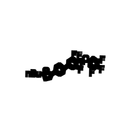 CCCCC1CCC(c2ccc(-c3cc(F)c(C(F)(F)Oc4cc(F)c(F)c(F)c4)c(F)c3)cc2)O1